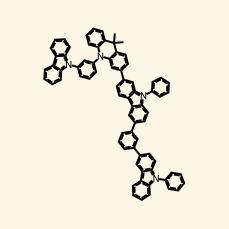 CC1(C)c2ccccc2N(c2cccc(-n3c4ccccc4c4ccccc43)c2)c2cc(-c3ccc4c5cc(-c6cccc(-c7ccc8c(c7)c7ccccc7n8-c7ccccc7)c6)ccc5n(-c5ccccc5)c4c3)ccc21